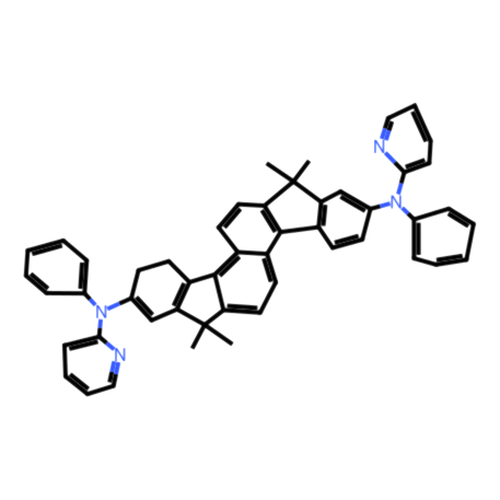 CC1(C)C2=C(CCC(N(c3ccccc3)c3ccccn3)=C2)c2c1ccc1c3c(ccc21)C(C)(C)c1cc(N(c2ccccc2)c2ccccn2)ccc1-3